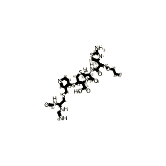 N=CNC(CSCc1cnccc1SC1=C(C(=O)O)N2C(=O)[C@@H](NC(=O)/C(=N\OCCF)c3csc(N)n3)[C@@H]2SC1)NC=O